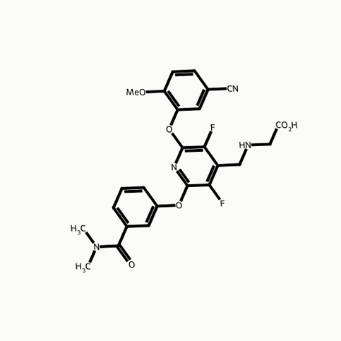 COc1ccc(C#N)cc1Oc1nc(Oc2cccc(C(=O)N(C)C)c2)c(F)c(CNCC(=O)O)c1F